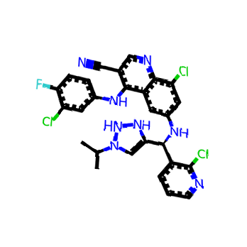 CC(C)N1C=C([C@@H](Nc2cc(Cl)c3ncc(C#N)c(Nc4ccc(F)c(Cl)c4)c3c2)c2cccnc2Cl)NN1